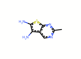 Cc1ncc2c(N)c(N)sc2n1